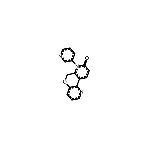 O=c1ccc2c(n1-c1cccnc1)COc1cccnc1-2